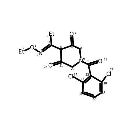 CCON=C(CC)C1C(=O)CN(C(=O)c2c(Cl)cccc2Cl)CC1=O